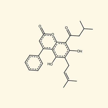 CC(C)=CCc1c(O)c(C(=O)CC(C)C)c2oc(=O)cc(-c3ccccc3)c2c1O